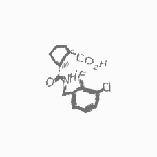 O=C(O)[C@@H]1CCC[C@H]1C(=O)NCc1cccc(Cl)c1F